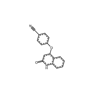 N#Cc1ccc(Oc2cc(=O)[nH]c3ccccc23)cc1